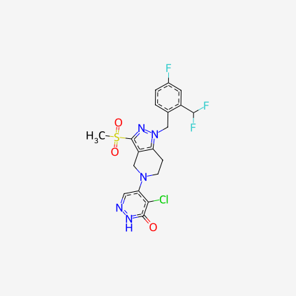 CS(=O)(=O)c1nn(Cc2ccc(F)cc2C(F)F)c2c1CN(c1cn[nH]c(=O)c1Cl)CC2